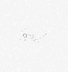 CCC1(OC(=O)CCNC(=O)OC(C)(C)C)C(=O)OCC2=C1CC1=C(C2=O)N2Cc3c(cc(NC(=O)OC(C)(C)C)cc3[Si](C)(C)C(C)C)C=C2N1